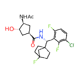 CC(=O)N[C@H]1C[C@@H](C(=O)N[C@H](c2c(F)ccc(Cl)c2F)C23CCC(F)(CC2)C3)C[C@@H]1O